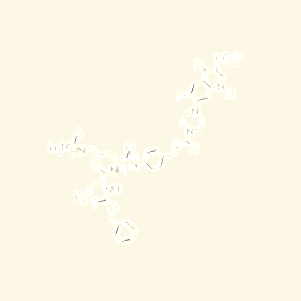 CCn1cc(C(=O)O)c(=O)c2cc(F)c(N3CCN(C(=O)OCc4ccc(NC(=O)[C@H](CCCNC(N)=O)NC(=O)[C@@H](CC(F)(F)F)NC(=O)OCc5ccccc5)cc4)CC3)cc21